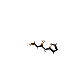 S=CCC(=S)Cc1cccs1